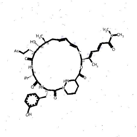 CC(=O)CC[C@H]1C(=O)N[C@@H](C(C)C)C(=O)N[C@@H](Cc2cccc(O)c2)C(=O)N2CCCC(N2)C(=O)O[C@H](/C(C)=C/C=C/C(=O)N(C)C)C/C=C/C=C/C[C@H](C)[C@H]1O